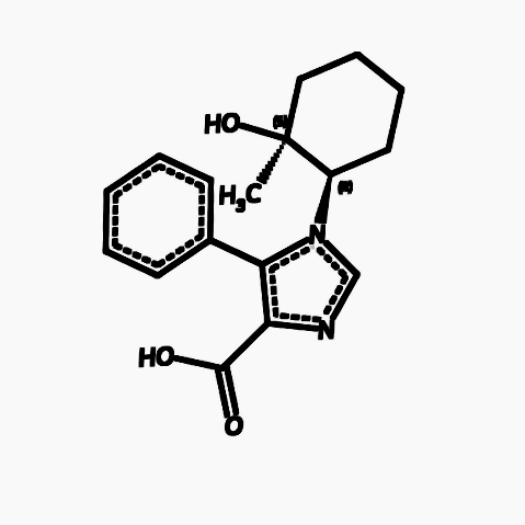 C[C@]1(O)CCCC[C@H]1n1cnc(C(=O)O)c1-c1ccccc1